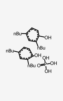 CCCCc1ccc(O)c(CCCC)c1.CCCCc1ccc(O)c(CCCC)c1.O=P(O)(O)O